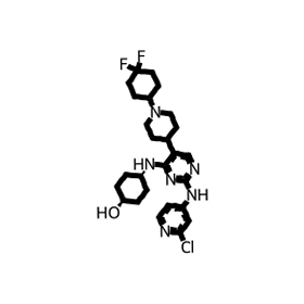 O[C@H]1CC[C@H](Nc2nc(Nc3ccnc(Cl)c3)ncc2C2CCN(C3CCC(F)(F)CC3)CC2)CC1